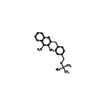 CC(C)(C)[Si](C)(C)OCc1ccc(Cc2nc3ccccc3c(N)c2N)cc1